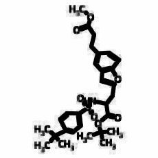 COC(=O)CCc1ccc2oc(CC(NS(=O)(=O)c3ccc(C(C)(C)C)cc3)C(=O)OC(C)(C)C)cc2c1